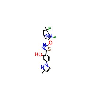 Cc1ccn(-c2ccc(-c3nnc(OC4CC5CC(C)(F)C(N5)C4F)s3)c(O)c2)n1